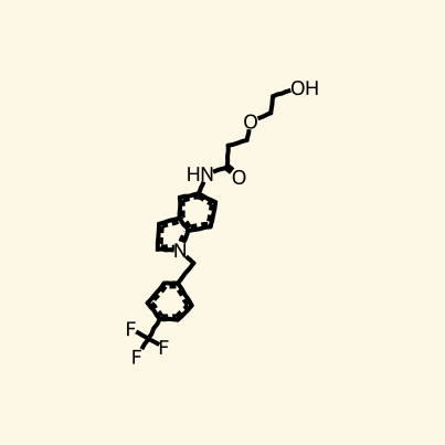 O=C(CCOCCO)Nc1ccc2c(ccn2Cc2ccc(C(F)(F)F)cc2)c1